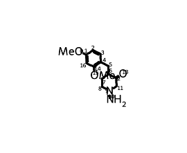 COc1ccc(CC2CCN(N)CC2=O)c(OC)c1